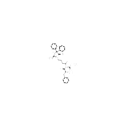 COC(=O)N(C(=O)[C@@H](N)Cc1ccccc1)C(C)CCCN1C(=N)NC(c2ccccc2)(c2ccccc2)C1=O